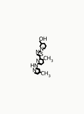 Cc1ccnc(NC2=CCC(C)C(c3cnc(N4CCCC(CO)C4)s3)=N2)c1